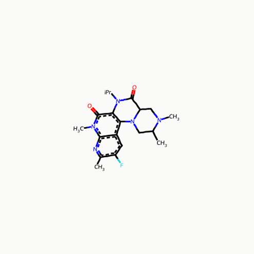 Cc1nc2c(cc1F)c1c(c(=O)n2C)N(C(C)C)C(=O)C2CN(C)C(C)CN12